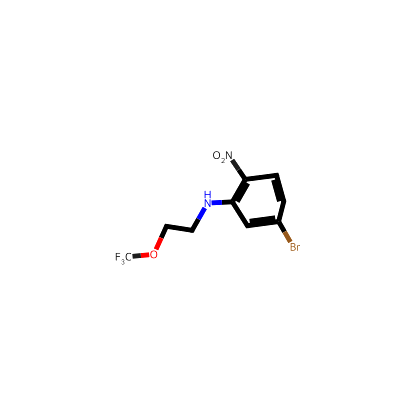 O=[N+]([O-])c1ccc(Br)cc1NCCOC(F)(F)F